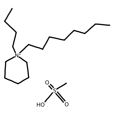 CCCCCCCC[N+]1(CCCC)CCCCC1.CS(=O)(=O)O